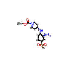 CC(C)(C)OC(=O)N1CCC(Nc2ccc(S(C)(=O)=O)cc2N)CC1